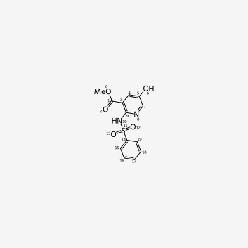 COC(=O)c1cc(O)cnc1NS(=O)(=O)c1ccccc1